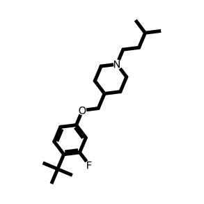 CC(C)CCN1CCC(COc2ccc(C(C)(C)C)c(F)c2)CC1